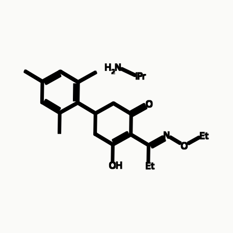 CC(C)N.CCON=C(CC)C1=C(O)CC(c2c(C)cc(C)cc2C)CC1=O